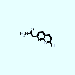 NC(=O)Cc1ccc2ccc(Cl)nc2n1